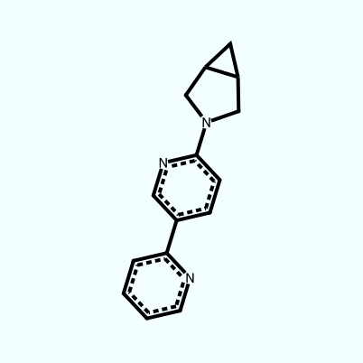 c1ccc(-c2ccc(N3CC4CC4C3)nc2)nc1